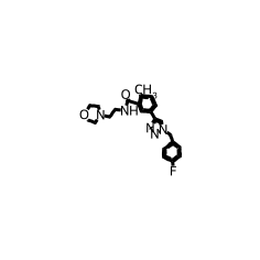 Cc1ccc(-c2cn(Cc3ccc(F)cc3)nn2)cc1C(=O)NCCN1CCOCC1